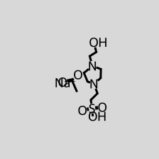 CC(=O)[O-].O=S(=O)(O)CCN1CCN(CCO)CC1.[Na+]